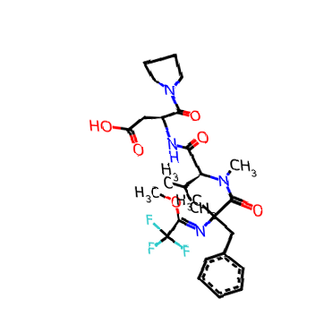 CO/C(=N\C(C)(Cc1ccccc1)C(=O)N(C)[C@H](C(=O)N[C@@H](CC(=O)O)C(=O)N1CCCC1)C(C)C)C(F)(F)F